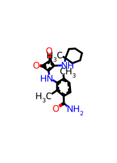 Cc1ccc(C(N)=O)c(C)c1Nc1c(NC2(C)CCCCC2)c(=O)c1=O